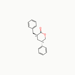 O=C1OC[C@H](c2ccccc2)C[C@H]1Cc1ccccc1